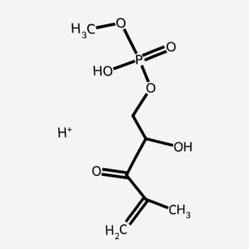 C=C(C)C(=O)C(O)COP(=O)(O)OC.[H+]